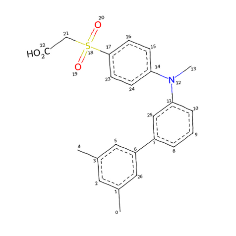 Cc1cc(C)cc(-c2cccc(N(C)c3ccc(S(=O)(=O)CC(=O)O)cc3)c2)c1